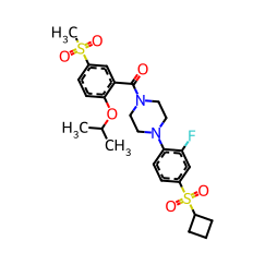 CC(C)Oc1ccc(S(C)(=O)=O)cc1C(=O)N1CCN(c2ccc(S(=O)(=O)C3CCC3)cc2F)CC1